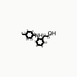 Cc1ccc(Nc2ccccc2CCO)cc1